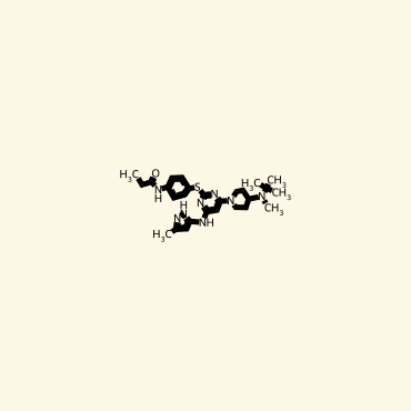 CCC(=O)Nc1ccc(Sc2nc(Nc3cc(C)n[nH]3)cc(N3CCC(N(C)C(C)(C)C)CC3)n2)cc1